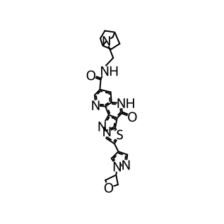 O=C(NCCN1CC2CCC1CC2)c1cnc2c(c1)[nH]c(=O)c1c2nn2cc(-c3cnn(C4COC4)c3)sc12